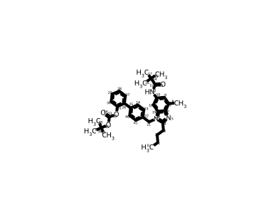 CCCCc1nc2c(C)cc(NC(=O)C(C)(C)C)cc2n1Cc1ccc(-c2ccccc2OC(=O)OC(C)(C)C)cc1